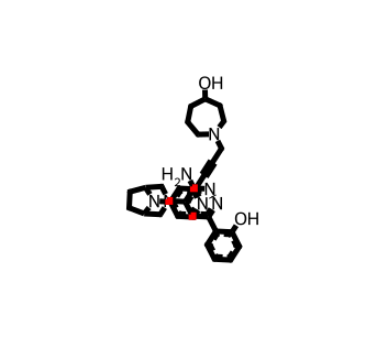 Nc1nnc(-c2ccccc2O)cc1N1CC2CCC(C1)N2c1ccnc(C#CCN2CCCC(O)CC2)c1